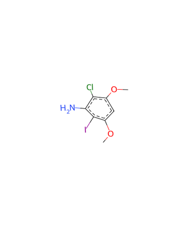 COc1cc(OC)c(I)c(N)c1Cl